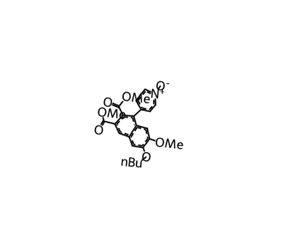 CCCCOc1cc2cc(C(=O)OC)c(C(=O)OC)c(-c3cc[n+]([O-])cc3)c2cc1OC